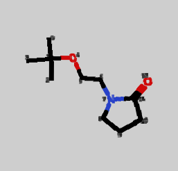 CC(C)(C)OCCN1CCCC1=O